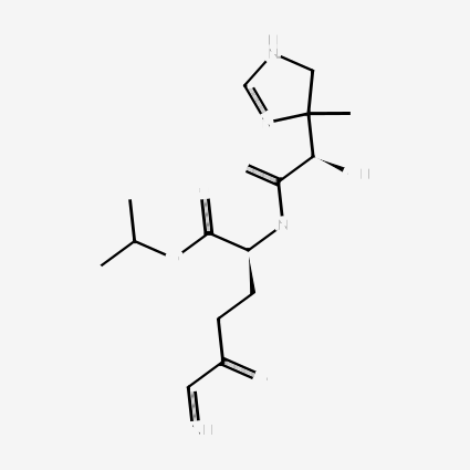 CC(C)OC(=O)[C@H](CCC(=O)C=N)NC(=O)[C@H](O)C1(C)CNC=N1